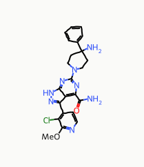 COc1nccc(-c2n[nH]c3nc(N4CCC(N)(c5ccccc5)CC4)nc(C(N)=O)c23)c1Cl